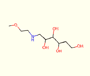 COCCNCC(O)C(O)C(O)CCO